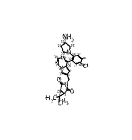 CC1(C)C2C(=O)N(Cc3cc4c(-c5cc(Cl)ccc5N5CC[C@H](N)C5)ncnn4c3)C(=O)C21